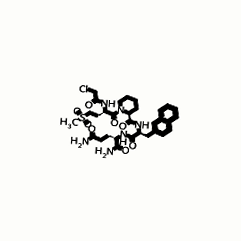 CS(=O)(=O)CC[C@H](NC(=O)CCl)C(=O)N1CCCC[C@H]1C(=O)N[C@@H](Cc1ccc2ccccc2c1)C(=O)N[C@@H](CCC(N)=O)C(N)=O